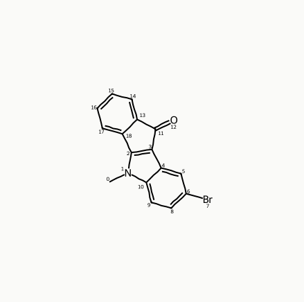 Cn1c2c(c3cc(Br)ccc31)C(=O)c1ccccc1-2